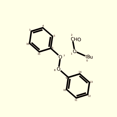 CC(C)(C)OC=O.c1ccc(OOc2ccccc2)cc1